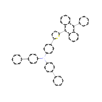 c1ccc(-c2ccc(N(c3ccc(-c4ccccc4)cc3)c3ccc(-c4ccc(-c5c6ccccc6c(-c6ccccc6)c6ccccc56)s4)cc3)cc2)cc1